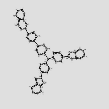 c1ccc2cc(-c3ccc(-c4ccc(N(c5ccc(-c6cc7ccccc7s6)cc5)c5ccc(-c6cc7ccccc7s6)cc5)cc4)cc3)ccc2c1